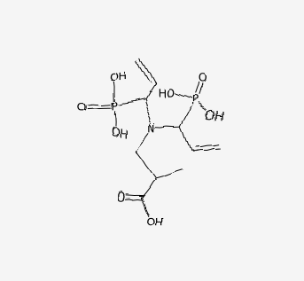 C=CC(N(CC(C)C(=O)O)C(C=C)P(=O)(O)O)P(=O)(O)O